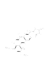 COc1cc(OC)c(Cl)c(-c2cc3cnc(NC4CC(O)CC4C)nc3n(C)c2=O)c1Cl